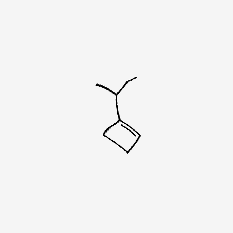 CC(C)C1=CCC1